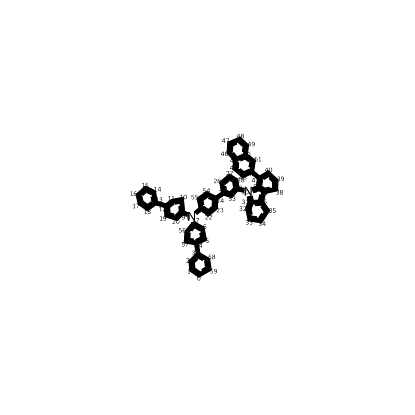 c1ccc(-c2ccc(N(c3ccc(-c4ccccc4)cc3)c3ccc(-c4cccc(-n5c6ccccc6c6cccc(-c7ccc8ccccc8c7)c65)c4)cc3)cc2)cc1